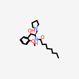 CCCCCCCC(=O)N[C@H](CN1CCCC1)[C@@H](O)c1ccccc1OC